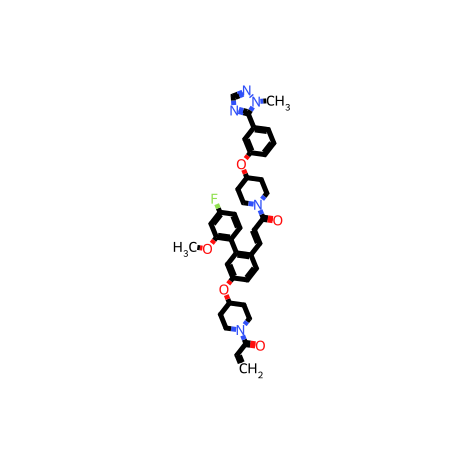 C=CC(=O)N1CCC(Oc2ccc(/C=C/C(=O)N3CCC(Oc4cccc(-c5ncnn5C)c4)CC3)c(-c3ccc(F)cc3OC)c2)CC1